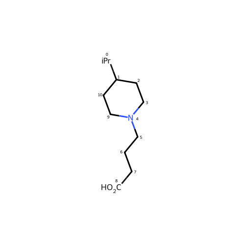 CC(C)C1CCN(CCCC(=O)O)CC1